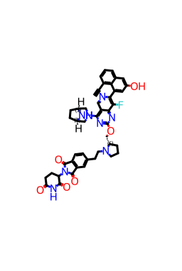 C#Cc1cccc2cc(O)cc(-c3ncc4c(N5C[C@H]6CC[C@@H](C5)N6)nc(OC[C@@H]5CCCN5CCc5ccc6c(c5)C(=O)N(C5CCC(=O)NC5=O)C6=O)nc4c3F)c12